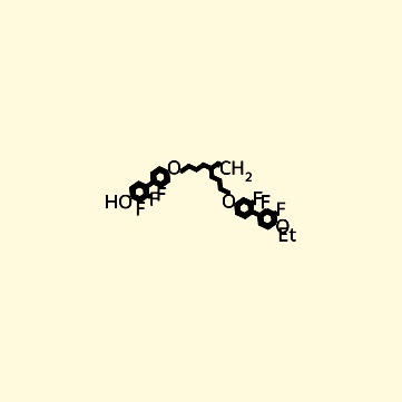 C=CC(CCCCOc1ccc(-c2ccc(O)c(F)c2F)c(F)c1)CCCCOc1ccc(-c2ccc(OCC)c(F)c2F)c(F)c1